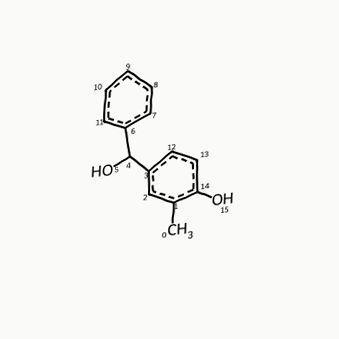 Cc1cc(C(O)c2ccccc2)ccc1O